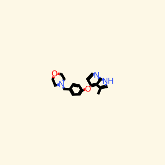 Cc1c[nH]c2nccc(Oc3ccc(CN4CCOCC4)cc3)c12